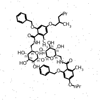 CCCOc1cc(C)c(C(=O)NC[C@H]2O[C@H](O[C@H]3O[C@H](CNC(=O)c4c(C)cc(OCC(C)CC(C)C)cc4OCc4ccccc4)[C@@H](O)[C@H](O)[C@H]3O)[C@H](O)[C@@H](O)[C@@H]2O)c(OCc2ccccc2)c1